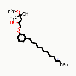 CCCC/C=C/CCCCCCCCCc1cccc(OCC(O)CC(C)(C)OCCC)c1